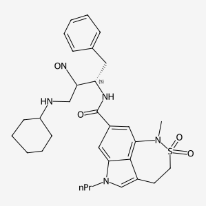 CCCn1cc2c3c(cc(C(=O)N[C@@H](Cc4ccccc4)C(CNC4CCCCC4)N=O)cc31)N(C)S(=O)(=O)CC2